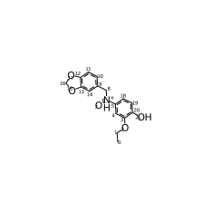 CCOc1cc([NH+]([O-])Cc2ccc3c(c2)OCO3)ccc1O